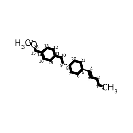 CCC/C=C/[C@H]1CC[C@H](CCC2CCC(COC)CC2)CC1